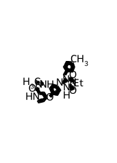 CCn1c(=O)[nH]/c(=N\c2ccc(OC3=CC(C(=O)N(C)N)NC=C3)cc2)n(Cc2ccc(C)cc2)c1=O